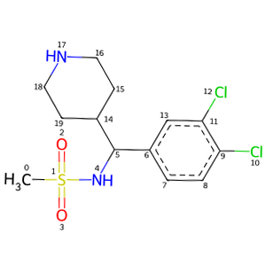 CS(=O)(=O)NC(c1ccc(Cl)c(Cl)c1)C1CCNCC1